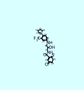 O=C(NCC(O)CNc1ccc(N2CCCC2)c(C(F)(F)F)c1)C1=CC(Cl)=CCC1=S